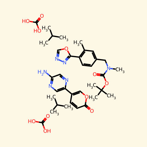 CC(C)C.CC(C)C.Cc1cc(CN(C)C(=O)OC(C)(C)C)ccc1-c1nnco1.Nc1cnc(-c2ccc(=O)oc2)cn1.O=C(O)O.O=C(O)O